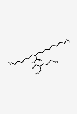 CCCCCCCCCC(CCCCCCC)C(=O)O.OCCCC(CO)CO